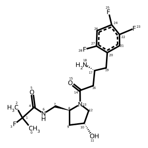 CC(C)(F)C(=O)NC[C@@H]1C[C@@H](O)CN1C(=O)C[C@H](N)Cc1cc(F)c(F)cc1F